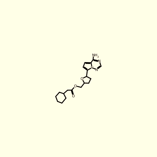 Nc1ncnn2c(C3CCC(COC(=O)CC4CCCCC4)O3)ccc12